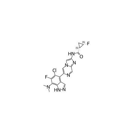 CN(C)c1c(F)c(Cl)c(-c2cn3cc(NC(=O)[C@@H]4C[C@@H]4F)nc3cn2)c2cn[nH]c12